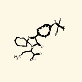 CCC(C(=O)O)N1C(=O)C(c2ccc(OC(F)(F)F)cc2)=NC12CCCCC2